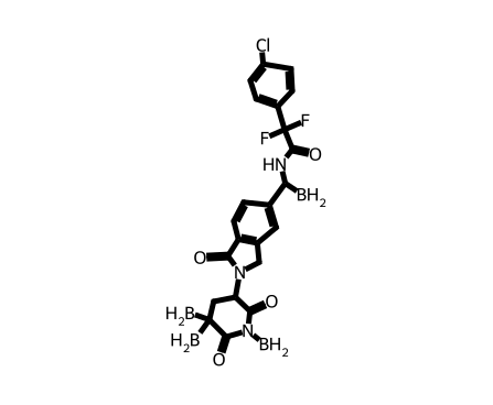 BC(NC(=O)C(F)(F)c1ccc(Cl)cc1)c1ccc2c(c1)CN(C1CC(B)(B)C(=O)N(B)C1=O)C2=O